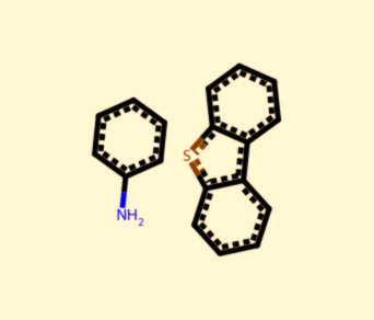 Nc1ccccc1.c1ccc2c(c1)sc1ccccc12